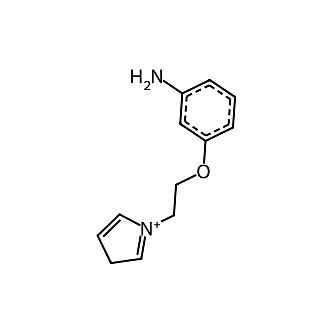 Nc1cccc(OCC[N+]2=CCC=C2)c1